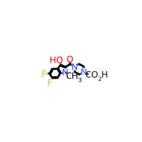 Cn1c(C(=O)N2CCN(C(=O)O)CC2)c(O)c2cc(F)c(F)cc21